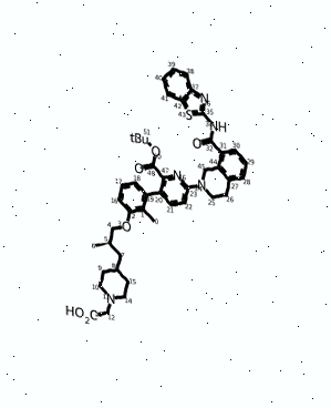 Cc1c(OC[C@H](C)CC2CCN(CC(=O)O)CC2)cccc1-c1ccc(N2CCc3cccc(C(=O)Nc4nc5ccccc5s4)c3C2)nc1C(=O)OC(C)(C)C